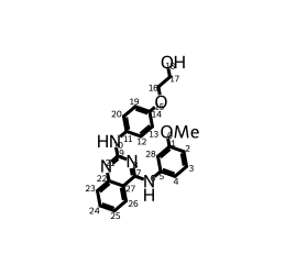 COc1cccc(Nc2nc(Nc3ccc(OCCO)cc3)nc3ccccc23)c1